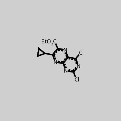 CCOC(=O)c1nc2c(Cl)nc(Cl)nc2nc1C1CC1